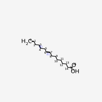 C=CC/C=C/C/C=C/CCCCCCCC(=O)O